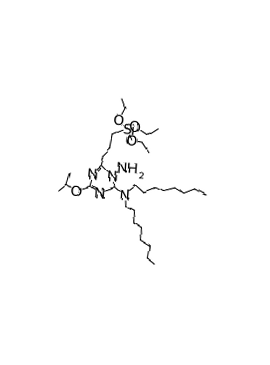 CCCCCCCCN(CCCCCCCC)C1N=C(OC(C)C)N=C(CCC[Si](OCC)(OCC)OCC)N1N